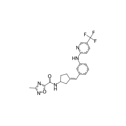 Cc1noc(C(=O)NC2CCC(=Cc3cccc(Nc4ccc(C(F)(F)F)cn4)c3)C2)n1